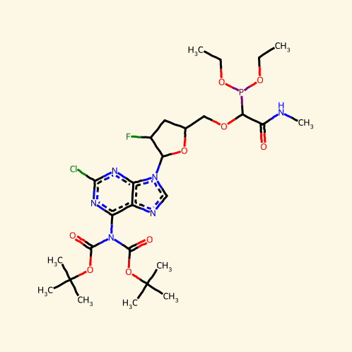 CCOP(OCC)C(OCC1CC(F)C(n2cnc3c(N(C(=O)OC(C)(C)C)C(=O)OC(C)(C)C)nc(Cl)nc32)O1)C(=O)NC